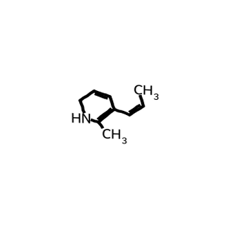 C/C=C\C1=C(C)NCC=C1